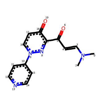 CN(C)C=CC(=O)c1nn(-c2ccncc2)ccc1=O